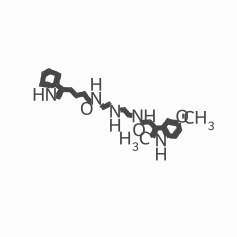 COc1ccc2[nH]c(C)c(CC(=O)NCCNCCNC(=O)CCCc3c[nH]c4ccccc34)c2c1